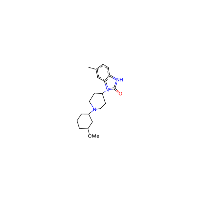 COC1CCCC(N2CCC(n3c(=O)[nH]c4ccc(C)cc43)CC2)C1